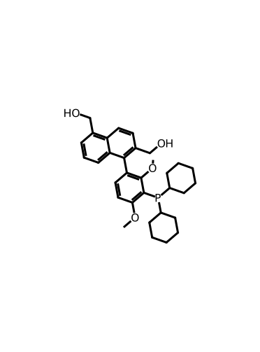 COc1ccc(-c2c(CO)ccc3c(CO)cccc23)c(OC)c1P(C1CCCCC1)C1CCCCC1